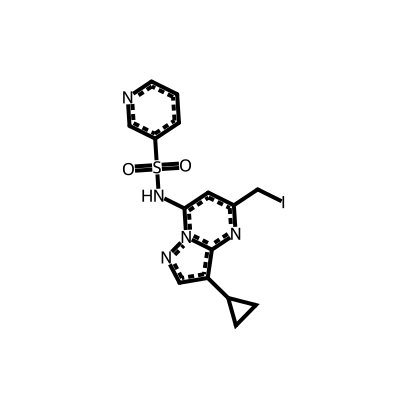 O=S(=O)(Nc1cc(CI)nc2c(C3CC3)cnn12)c1cccnc1